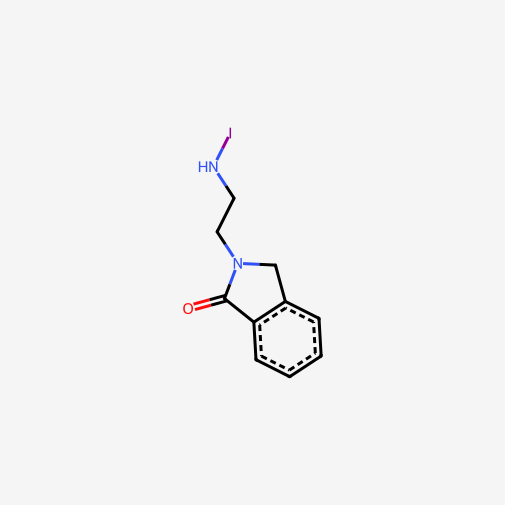 O=C1c2ccccc2CN1CCNI